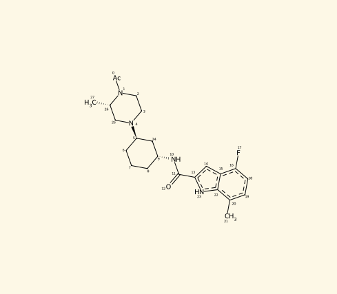 CC(=O)N1CCN([C@@H]2CCC[C@@H](NC(=O)c3cc4c(F)ccc(C)c4[nH]3)C2)C[C@@H]1C